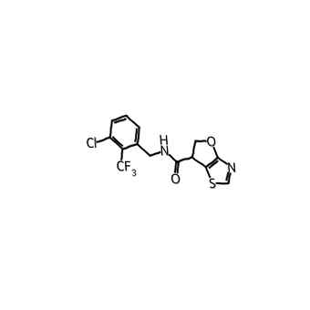 O=C(NCc1cccc(Cl)c1C(F)(F)F)C1COc2ncsc21